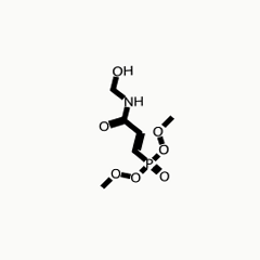 COOP(=O)(C=CC(=O)NCO)OOC